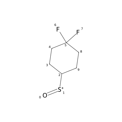 O=[S+]C1CCC(F)(F)CC1